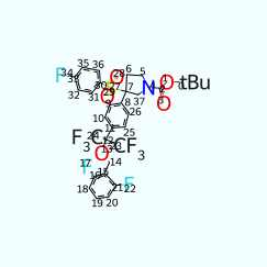 CC(C)(C)OC(=O)N1CCC(c2ccc(C(OCc3c(F)cccc3F)(C(F)(F)F)C(F)(F)F)cc2)(S(=O)(=O)c2ccc(F)cc2)C1